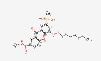 CCCCCCCCOc1cc(S(C)(=O)=O)cc2c(=O)c3cc(C(=O)OC)ccc3oc12